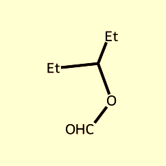 [CH2]CC(C[CH2])OC=O